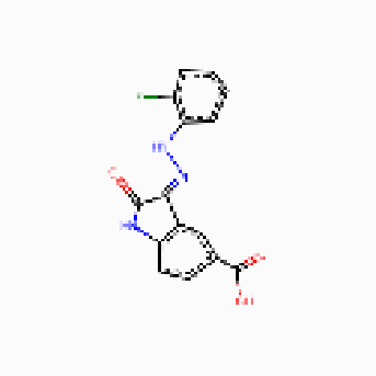 O=C1Nc2ccc(C(=O)O)cc2/C1=N/Nc1ccccc1F